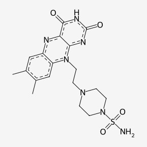 Cc1cc2nc3c(=O)[nH]c(=O)nc-3n(CCN3CCN(S(N)(=O)=O)CC3)c2cc1C